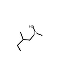 CCC(C)CP(C)S